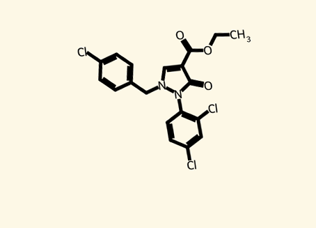 CCOC(=O)c1cn(Cc2ccc(Cl)cc2)n(-c2ccc(Cl)cc2Cl)c1=O